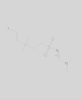 CN(C)/C=N/S(=O)(=O)CCC(C)(C)CCI